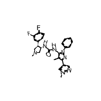 Cc1c(-c2cnn(C)c2)nn(-c2ccccc2)c1NC(=O)N[C@@H]1CN(C)C[C@H]1c1ccc(F)c(F)c1